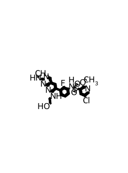 CNc1ncc2cc(-c3cccc(NS(=O)(=O)c4cc(Cl)cnc4OC)c3F)c(NCCO)nc2n1